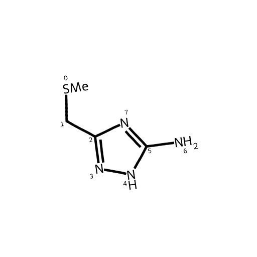 CSCc1n[nH]c(N)n1